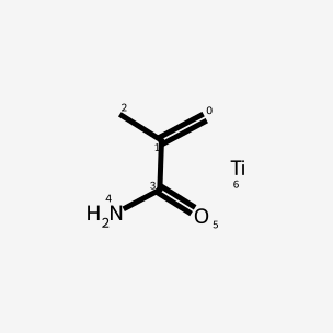 C=C(C)C(N)=O.[Ti]